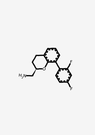 NC[C@H]1CCc2cccc(-c3ccc(F)cc3F)c2O1